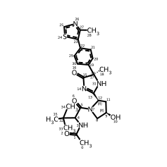 CC(=O)NC(C(=O)N1C[C@H](O)C[C@@H]1C1=NC(=O)[C@@](C)(c2ccc(-c3scnc3C)cc2)N1)C(C)(C)C